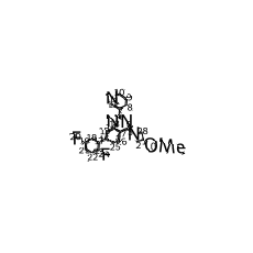 COC1CN(c2nc(-c3cccnc3)nc3cc(-c4cc(F)ccc4F)ccc23)C1